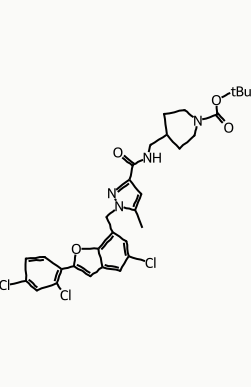 Cc1cc(C(=O)NCC2CCN(C(=O)OC(C)(C)C)CC2)nn1Cc1cc(Cl)cc2cc(-c3ccc(Cl)cc3Cl)oc12